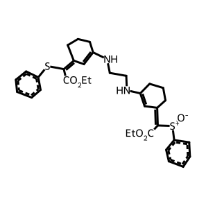 CCOC(=O)/C(Sc1ccccc1)=C1\C=C(NCCNC2=C/C(=C(\C(=O)OCC)[S+]([O-])c3ccccc3)CCC2)CCC1